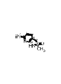 CC(C)c1ccc(CS(C)(=N)=O)cn1